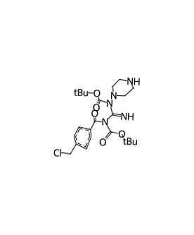 CC(C)(C)OC(=O)N(C(=N)N(C(=O)OC(C)(C)C)N1CCNCC1)C(=O)c1ccc(CCl)cc1